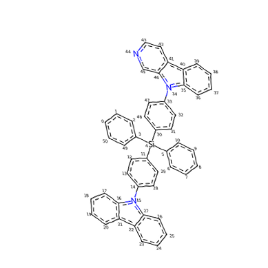 c1ccc([Si](c2ccccc2)(c2ccc(-n3c4ccccc4c4ccccc43)cc2)c2ccc(-n3c4ccccc4c4ccncc43)cc2)cc1